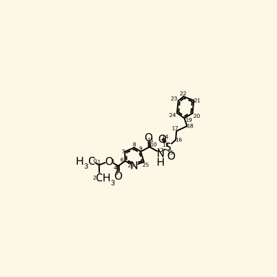 CC(C)OC(=O)c1ccc(C(=O)NS(=O)(=O)CCCc2ccccc2)cn1